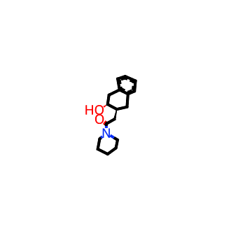 O=C(C[C@@H]1Cc2ccccc2C[C@H]1O)N1CCCCC1